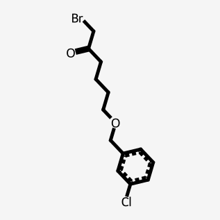 O=C(CBr)CCCCOCc1cccc(Cl)c1